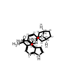 NC(=O)c1cnc2[nH]ccc2c1N[C@@H]1C[C@H]2CC[C@@H](C1)N2c1ccc(N)cn1